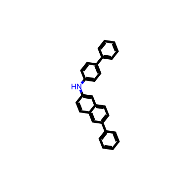 c1ccc(-c2ccc(Nc3ccc4cc(-c5ccccc5)ccc4c3)cc2)cc1